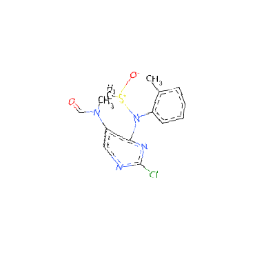 Cc1ccccc1N(c1nc(Cl)ncc1N(C)C=O)[S+](C)[O-]